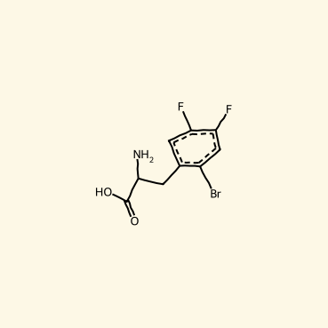 NC(Cc1cc(F)c(F)cc1Br)C(=O)O